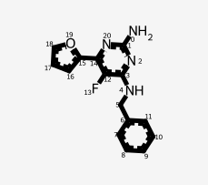 Nc1nc(NCc2ccccc2)c(F)c(-c2ccco2)n1